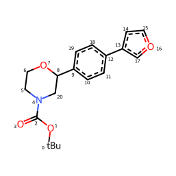 CC(C)(C)OC(=O)N1CCOC(c2ccc(-c3ccoc3)cc2)C1